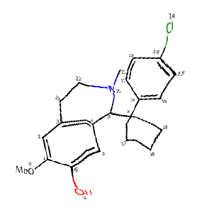 COc1cc2c(cc1O)C(C1(c3ccc(Cl)cc3)CCC1)N(C)CC2